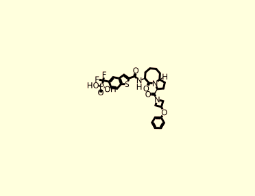 O=C(N[C@H]1CCCC[C@H]2CC[C@@H](C(=O)N3CC(Oc4ccccc4)C3)N2C1=O)c1cc2cc(C(F)(F)P(=O)(O)O)ccc2s1